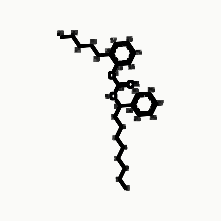 CCCCCCCCC(OC(=O)Oc1ccccc1CCCCC)c1ccccc1